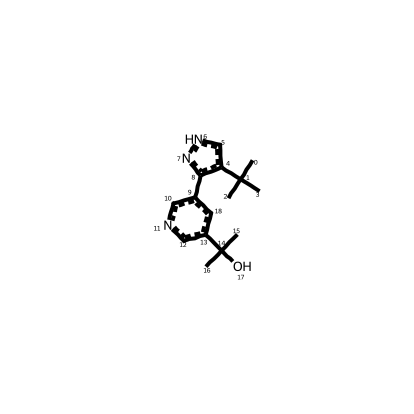 CC(C)(C)c1c[nH]nc1-c1cncc(C(C)(C)O)c1